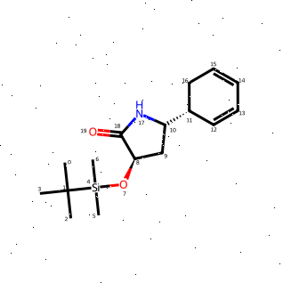 CC(C)(C)[Si](C)(C)O[C@@H]1CC([C@H]2C=CC=CC2)NC1=O